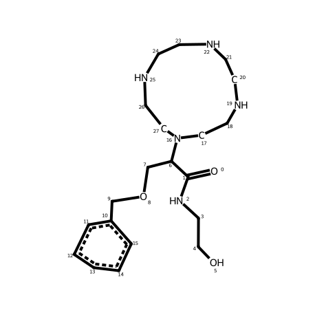 O=C(NCCO)C(COCc1ccccc1)N1CCNCCNCCNCC1